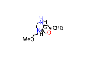 COCCN1CCN[C@H]2C[C@H](C=O)OC[C@H]21